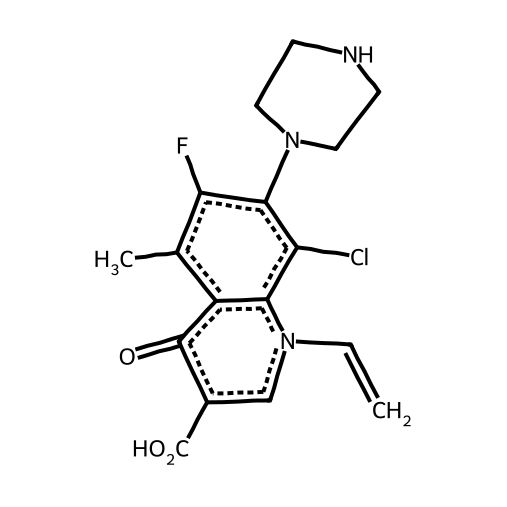 C=Cn1cc(C(=O)O)c(=O)c2c(C)c(F)c(N3CCNCC3)c(Cl)c21